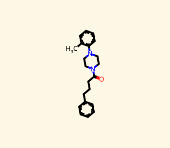 Cc1ccccc1N1CCN(C(=O)CCCc2ccccc2)CC1